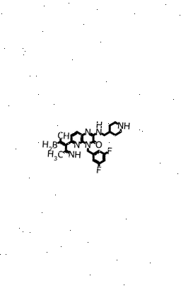 B/C(C)=C(\C(C)=N)c1ccc2nc(NCC3CCNCC3)c(=O)n(Cc3cc(F)cc(F)c3)c2n1